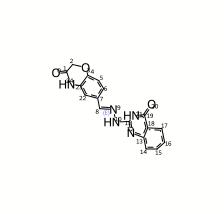 O=C1COc2ccc(/C=N/Nc3nc4ccccc4c(=O)[nH]3)cc2N1